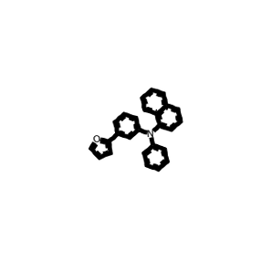 c1ccc(N(c2cccc(-c3ccco3)c2)c2cccc3ccccc23)cc1